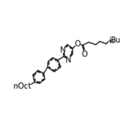 CCCCCCCCc1ccc(-c2ccc(-c3ncc(OC(=O)CCCC[C@H](C)CC)cn3)cc2)cc1